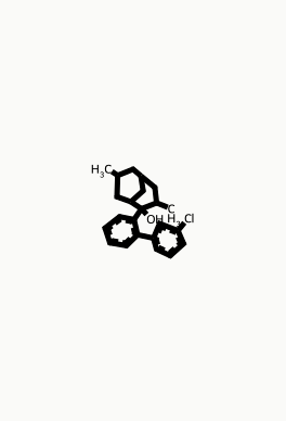 CC1CC2CC(C)C(O)(c3ccccc3-c3cccc(Cl)c3)C(C1)C2